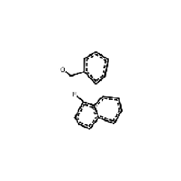 Fc1cccc2ccccc12.[O]Cc1ccccc1